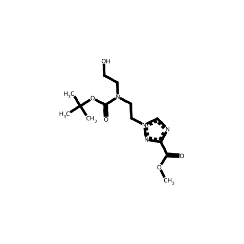 COC(=O)c1ncn(CCN(CCO)C(=O)OC(C)(C)C)n1